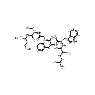 CSCC[C@H](NC(=O)[C@H](CC(C)C)NC(=O)CNC(=O)[C@H](Cc1ccccc1)NC(=O)[C@H](Cc1c[nH]c2ccccc12)NC(=O)[C@@H](N)CCC(N)=O)C(=O)O